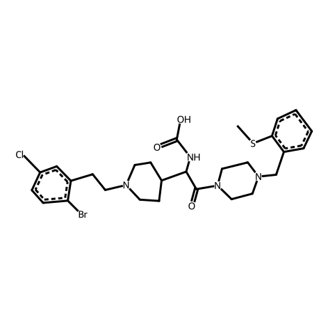 CSc1ccccc1CN1CCN(C(=O)C(NC(=O)O)C2CCN(CCc3cc(Cl)ccc3Br)CC2)CC1